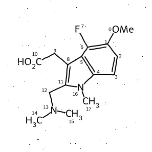 COc1ccc2c(c1F)c(CC(=O)O)c(CN(C)C)n2C